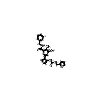 O=C(NCc1cccs1)Nc1cscc1-c1nc(O)c(O)c(C(=O)NCc2ccccc2)n1